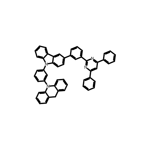 c1ccc(-c2cc(-c3ccccc3)nc(-c3cccc(-c4ccc5c(c4)c4ccccc4n5-c4cccc(N5c6ccccc6Cc6ccccc65)c4)c3)n2)cc1